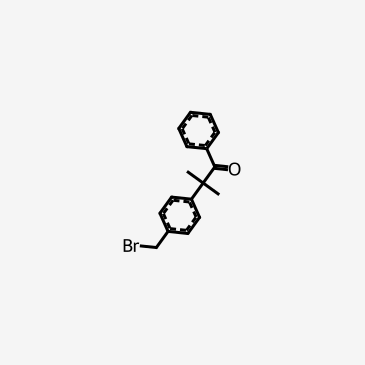 CC(C)(C(=O)c1ccccc1)c1ccc(CBr)cc1